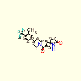 Cc1cc(C2CCN(C(=O)[C@H]3C[C@]4(CCC(=O)N4)C3)CC2)ccc1C(F)(F)F